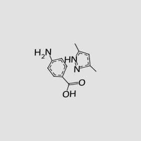 Cc1cc(C)[nH]n1.Nc1ccc(C(=O)O)cc1